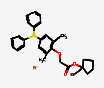 CCC1(OC(=O)COc2c(C)cc([S+](c3ccccc3)c3ccccc3)cc2C)CCCC1.[Br-]